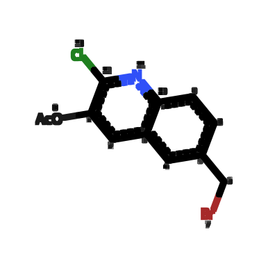 CC(=O)Oc1cc2cc(CBr)ccc2nc1Cl